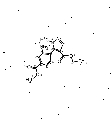 CCOC(=O)c1cnn(C)c1-c1ccc(C(=O)OC)cc1N